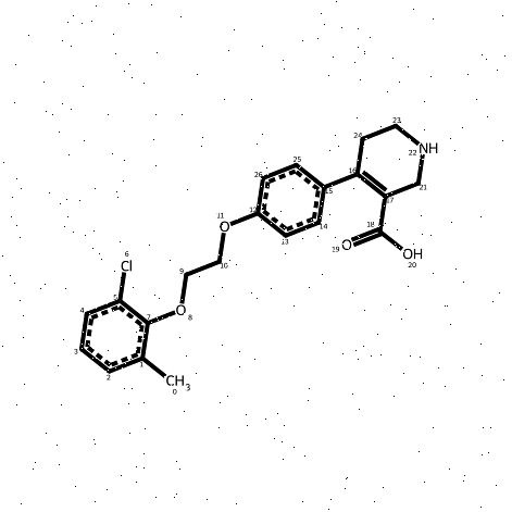 Cc1cccc(Cl)c1OCCOc1ccc(C2=C(C(=O)O)CNCC2)cc1